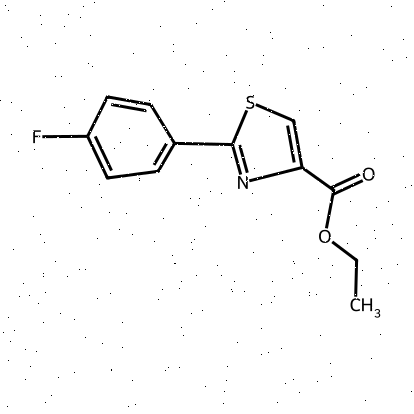 CCOC(=O)c1csc(-c2ccc(F)cc2)n1